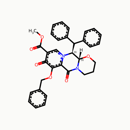 COC(=O)c1cn2c(c(OCc3ccccc3)c1=O)C(=O)N1CCCO[C@H]1[C@@H]2C(c1ccccc1)c1ccccc1